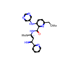 CN/C(=C\C(=N)c1ccccn1)NC(=O)c1nc(COC)ccc1Nc1cncnc1